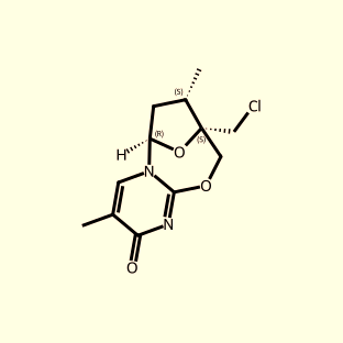 Cc1cn2c(nc1=O)OC[C@@]1(CCl)O[C@@H]2C[C@@H]1C